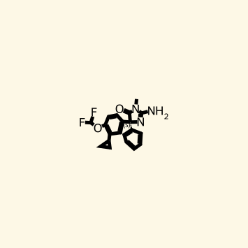 CN1C(=O)[C@](c2ccccc2)(c2ccc(OC(F)F)c(C3CC3)c2)N=C1N